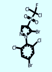 O=S(=O)(c1cnn(-c2c(Cl)cc(Br)cc2Cl)c1Br)C(F)(Cl)Cl